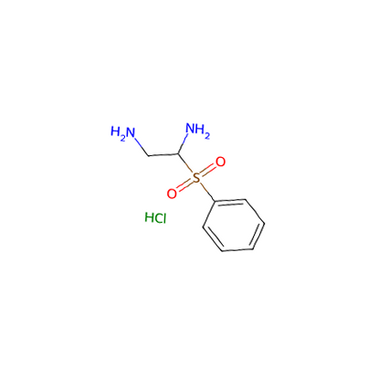 Cl.NCC(N)S(=O)(=O)c1ccccc1